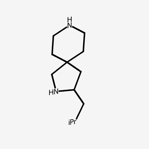 CC(C)CC1CC2(CCNCC2)CN1